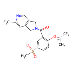 C[C@H](Oc1ccc(S(C)(=O)=O)cc1C(=O)N1Cc2cnc(C(F)(F)F)cc2C1)C(F)(F)F